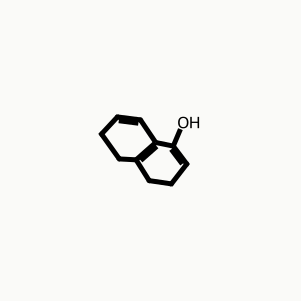 OC1=CCCC2=C1C=CCC2